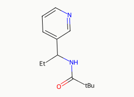 CCC(NC(=O)C(C)(C)C)c1cccnc1